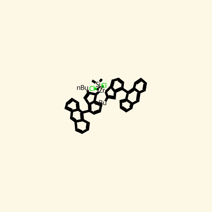 CCCCC1=Cc2c(-c3c4ccccc4cc4ccccc34)cccc2[CH]1[Zr]([Cl])([Cl])([CH]1C(CCCC)=Cc2c(-c3c4ccccc4cc4ccccc34)cccc21)=[Si](C)C